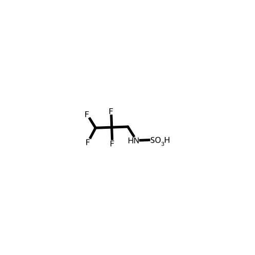 O=S(=O)(O)NCC(F)(F)C(F)F